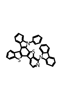 c1ccc(-n2c3ccccc3c3c4c5ccccc5sc4c4c5ccnc(-n6c7ccccc7c7ccccc76)c5sc4c32)cc1